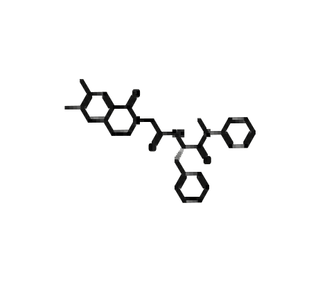 Cc1cc2ccn(CC(=O)N[C@@H](Cc3ccccc3)C(=O)N(C)c3ccccc3)c(=O)c2cc1C